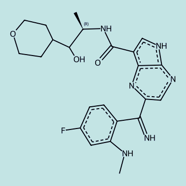 CNc1cc(F)ccc1C(=N)c1cnc2[nH]cc(C(=O)N[C@H](C)C(O)C3CCOCC3)c2n1